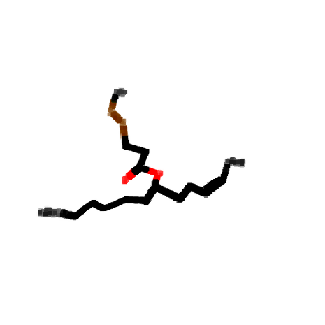 CCCCC/C=C\CCC(CCCCCCCCCCCCCCC)OC(=O)CCSSCCC